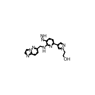 N=Nc1ccc(-c2cnn(CCO)c2)nc1NCc1ccc2nccn2n1